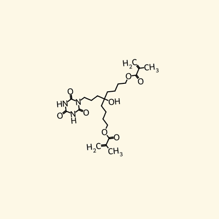 C=C(C)C(=O)OCCCCC(O)(CCCCOC(=O)C(=C)C)CCCn1c(=O)[nH]c(=O)[nH]c1=O